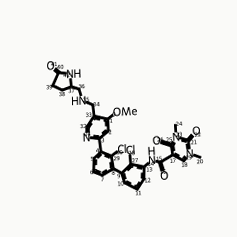 COc1cc(-c2cccc(-c3cccc(NC(=O)c4cn(C)c(=O)n(C)c4=O)c3Cl)c2Cl)ncc1CNCC1CCC(=O)N1